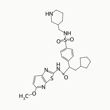 COc1ccc2nc(NC(=O)C(CC3CCCC3)c3ccc(S(=O)(=O)NCC4CCCNC4)cc3)sc2n1